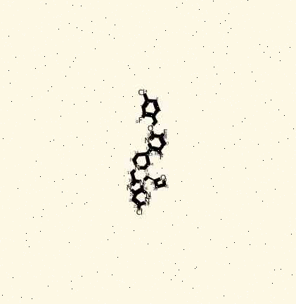 Fc1cc(Cl)ccc1COc1nc(C2CCN(Cc3nc4cc(Cl)nnc4n3C[C@@H]3CCO3)CC2)c(F)cc1F